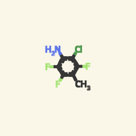 Cc1c(F)c(F)c(N)c(Cl)c1F